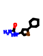 NC(=O)Nc1csc(-c2ccccc2)c1